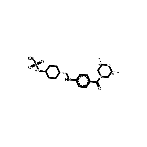 C[C@@H]1CN(C(=O)c2ccc(NC[C@H]3CC[C@H](NS(=O)(=O)C(C)(C)C)CC3)cc2)C[C@H](C)O1